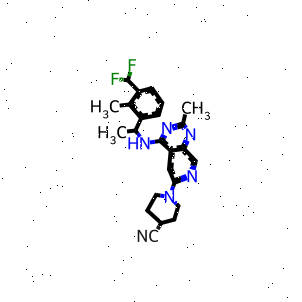 Cc1nc(NC(C)c2cccc(C(F)F)c2C)c2cc(N3CCC(C#N)CC3)ncc2n1